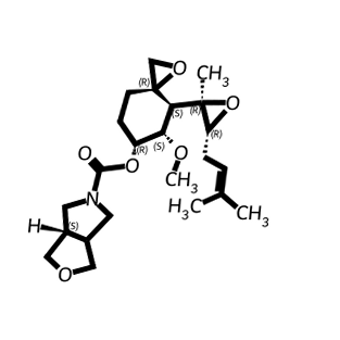 CO[C@@H]1[C@H](OC(=O)N2CC3COC[C@@H]3C2)CC[C@]2(CO2)[C@H]1[C@@]1(C)O[C@@H]1CC=C(C)C